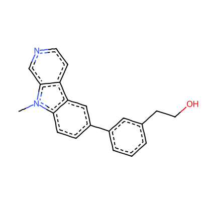 Cn1c2ccc(-c3cccc(CCO)c3)cc2c2ccncc21